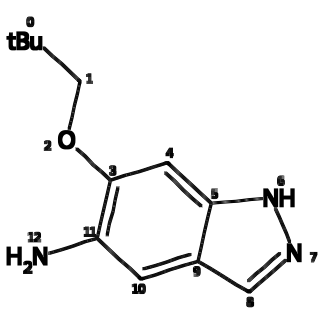 CC(C)(C)COc1cc2[nH]ncc2cc1N